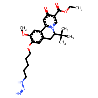 CCOC(=O)c1cn2c(cc1=O)-c1cc(OC)c(OCCCCCNN=N)cc1CC2C(C)(C)C